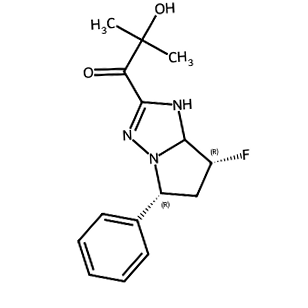 CC(C)(O)C(=O)C1=NN2C(N1)[C@H](F)C[C@@H]2c1ccccc1